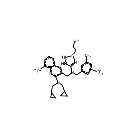 Cc1cccc2cc(CN(Cc3cc(C(F)(F)F)cc(C(F)(F)F)c3)C3=NN(CCO)NN3)c(N(CC3CC3)CC3CC3)nc12